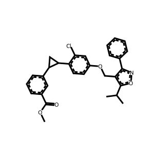 COC(=O)c1cccc(C2CC2c2ccc(OCc3c(-c4ccccc4)noc3C(C)C)cc2Cl)c1